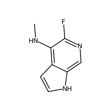 CNc1c(F)ncc2[nH]ccc12